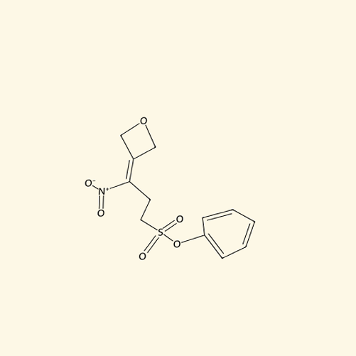 O=[N+]([O-])C(CCS(=O)(=O)Oc1ccccc1)=C1COC1